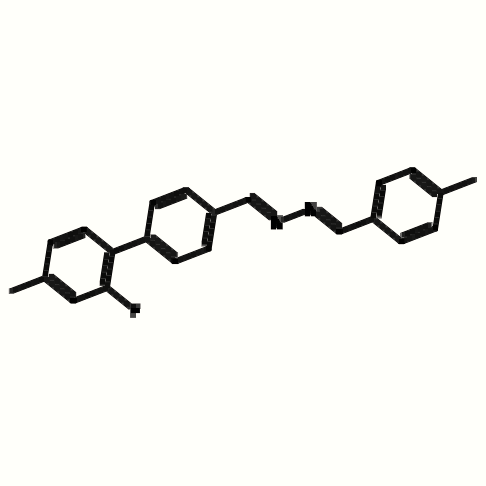 Cc1ccc(C=NN=Cc2ccc(-c3ccc(C)cc3F)cc2)cc1